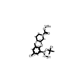 CCOB(OC(C)(C)CC)c1cc(Cl)cc(C)c1O[C@H]1CCCN(C(=O)OC(C)(C)C)C1